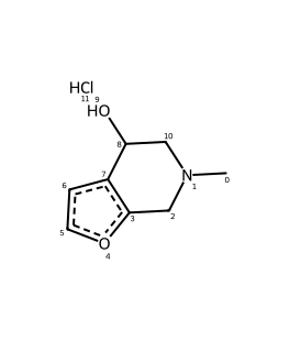 CN1Cc2occc2C(O)C1.Cl